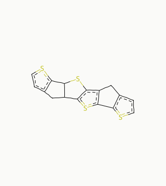 c1cc2c(s1)-c1sc3c(c1C2)SC1c2sccc2CC31